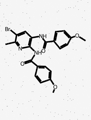 COc1ccc(C(=O)Nc2cc(Br)c(C)nc2NC(=O)c2ccc(OC)cc2)cc1